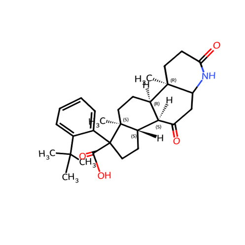 CC(C)(C)c1ccccc1C1(C(=O)O)CC[C@H]2[C@@H]3C(=O)CC4NC(=O)CC[C@]4(C)[C@@H]3CC[C@@]21C